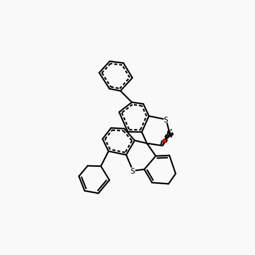 C1=CCC(c2cccc3c2SC2=CCCC=C2C32c3ccccc3Sc3cc(-c4ccccc4)ccc32)C=C1